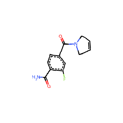 NC(=O)c1ccc(C(=O)N2CC=CC2)cc1F